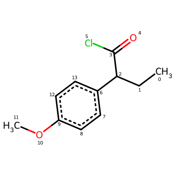 CCC(C(=O)Cl)c1ccc(OC)cc1